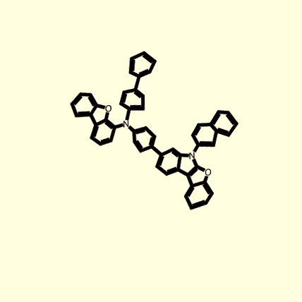 c1ccc(-c2ccc(N(c3ccc(-c4ccc5c6c7ccccc7oc6n(-c6ccc7ccccc7c6)c5c4)cc3)c3cccc4c3oc3ccccc34)cc2)cc1